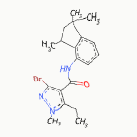 CCc1c(C(=O)Nc2cccc3c2C(C)CC3(C)C)c(Br)nn1C